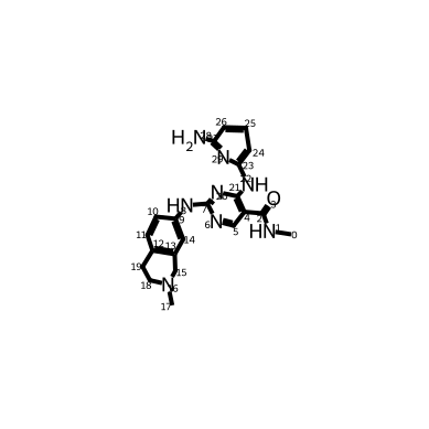 CNC(=O)c1cnc(Nc2ccc3c(c2)CN(C)CC3)nc1Nc1cccc(N)n1